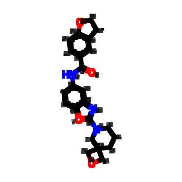 O=C(Nc1ccc2oc(N3CCCC4(COC4)C3)nc2c1)c1ccc2c(c1)CCO2